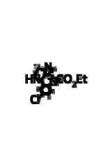 CCOC(=O)COc1ccc(Cl)cc1C1NCCc2ncsc21